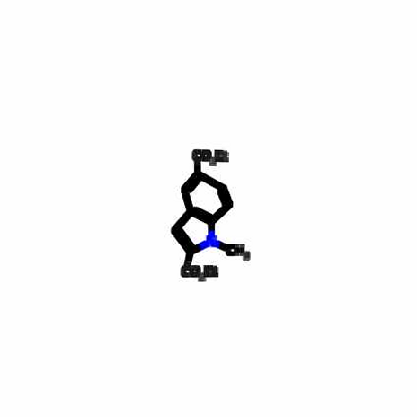 CCOC(=O)c1ccc2c(c1)cc(C(=O)OCC)n2C